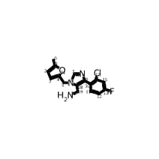 Cc1ccc(Cn2cnc(-c3ccc(F)cc3Cl)c2CN)o1